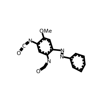 COc1cc(N=Nc2ccccc2)c(N=C=O)cc1N=C=O